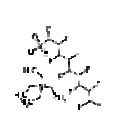 CC[N+](CC)(CC)CC.O=S(=O)([O-])C(F)C(F)C(F)C(F)C(F)C(F)C(F)C(F)C(F)F